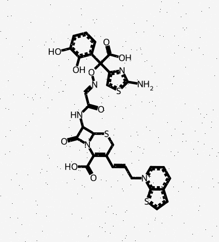 Nc1nc(C(ON=CC(=O)NC2C(=O)N3C(C(=O)O)=C(C=CC[n+]4cccc5ccsc54)CSC23)(C(=O)O)c2cccc(O)c2O)cs1